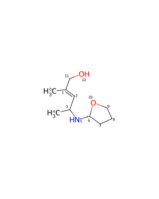 C/C(=C\C(C)N[C]1CCCO1)CO